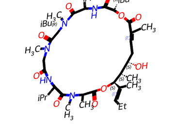 CC/C=C(\C)[C@H]1OC(=O)C(C)N(C)C(=O)C(C(C)C)NC(=O)CN(C)C(=O)C([C@H](C)CC)N(C)C(=O)C(C(C)C)NC(=O)C([C@@H](C)CC)OC(=O)/C(C)=C/C[C@H](O)[C@@H]1C